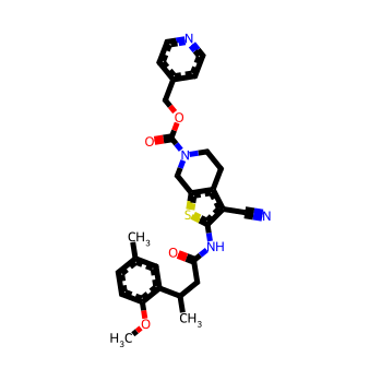 COc1ccc(C)cc1C(C)CC(=O)Nc1sc2c(c1C#N)CCN(C(=O)OCc1ccncc1)C2